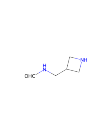 O=CNCC1CNC1